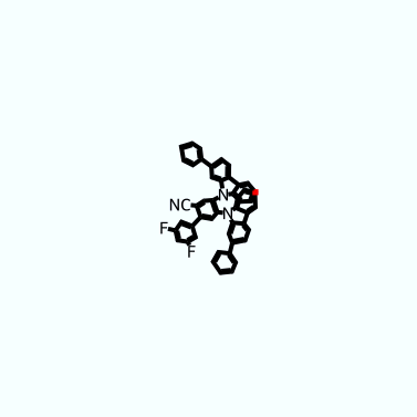 N#Cc1cc(-n2c3ccccc3c3ccc(-c4ccccc4)cc32)c(-n2c3ccccc3c3ccc(-c4ccccc4)cc32)cc1-c1cc(F)cc(F)c1